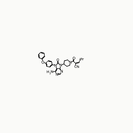 CC(C)/C=C(/C#N)C(=O)N1CCC(n2c(=O)n(-c3ccc(Oc4ccccc4)cc3)c3c(N)ncnc32)CC1